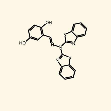 Oc1ccc(O)c(/C=N/N(c2nc3ccccc3s2)c2nc3ccccc3s2)c1